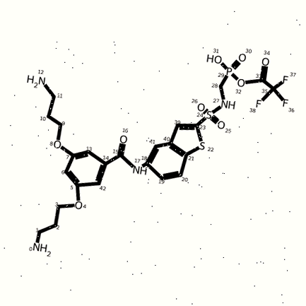 NCCCOc1cc(OCCCN)cc(C(=O)Nc2ccc3sc(S(=O)(=O)NCP(=O)(O)OC(=O)C(F)(F)F)cc3c2)c1